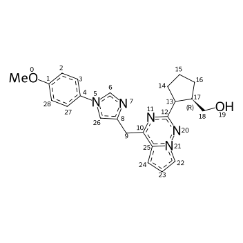 COc1ccc(-n2cnc(Cc3nc(C4CCC[C@H]4CO)nn4cccc34)c2)cc1